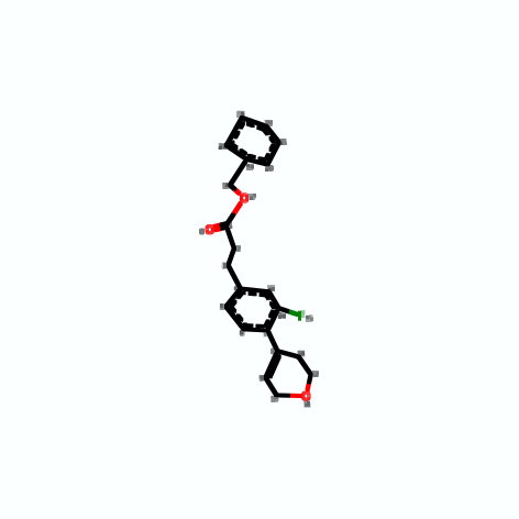 O=C([CH]Cc1ccc(C2=CCOCC2)c(F)c1)OCc1ccccc1